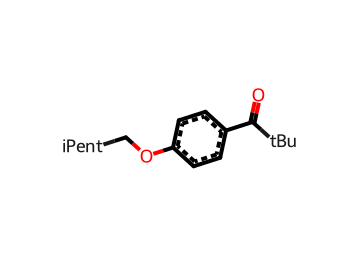 CCCC(C)COc1ccc(C(=O)C(C)(C)C)cc1